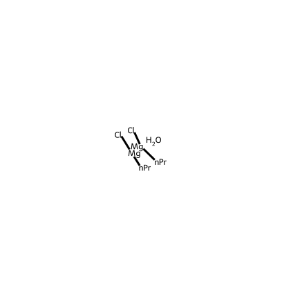 CC[CH2][Mg][Cl].CC[CH2][Mg][Cl].O